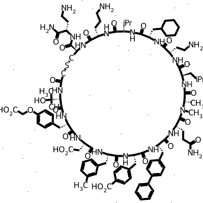 Cc1cccc(C[C@@H]2NC(=O)[C@H](CC(=O)O)NC(=O)[C@H](Cc3ccc(OCC(=O)O)cc3)NC(=O)[C@H](C(C)(C)O)NC(=O)CSC[C@@H](C(=O)N[C@@H](CCN)C(N)=O)NC(=O)[C@H](CCCN)NC(=O)[C@H](C(C)C)NC(=O)[C@H](CC3CCCCC3)NC(=O)[C@H](CCN)NC(=O)[C@@H](CC(C)C)NC(=O)[C@H](C)N(C)C(=O)[C@H](CCC(N)=O)NC(=O)[C@H](Cc3ccc(-c4ccccc4)cc3)NC(=O)[C@H](Cc3ccc(C(=O)O)cc3)NC2=O)c1